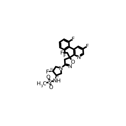 CS(=O)(=O)N[C@@H]1CN(C2=NOC(CF)(c3ncc(F)cc3-c3c(F)cccc3F)C2)C[C@@H]1F